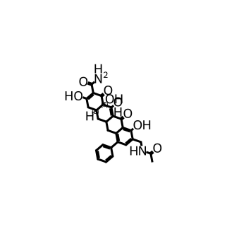 CC(=O)NCc1cc(-c2ccccc2)c2c(c1O)C(=O)C1=C(O)[C@]3(O)C(=O)C(C(N)=O)=C(O)C[C@@H]3CC1C2